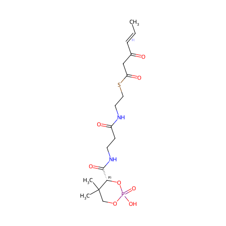 C/C=C/C(=O)CC(=O)SCCNC(=O)CCNC(=O)[C@@H]1OP(=O)(O)OCC1(C)C